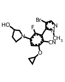 Cn1ncc(Br)c1-c1c(F)c(N2CCC(O)C2)cc(OC2CC2)c1C#N